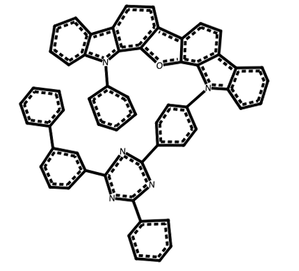 c1ccc(-c2cccc(-c3nc(-c4ccccc4)nc(-c4ccc(-n5c6ccccc6c6ccc7c8ccc9c%10ccccc%10n(-c%10ccccc%10)c9c8oc7c65)cc4)n3)c2)cc1